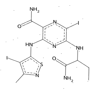 CCC(Nc1nc(Nc2snc(C)c2I)c(C(N)=O)nc1I)C(N)=O